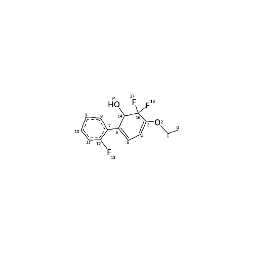 CCOC1=CC=C(c2ccccc2F)C(O)C1(F)F